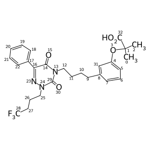 CC(C)(Oc1cccc(CCCCn2c(=O)c(-c3ccccc3)nn(CCCC(F)(F)F)c2=O)c1)C(=O)O